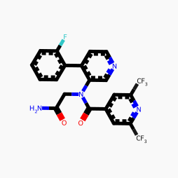 NC(=O)CN(C(=O)c1cc(C(F)(F)F)nc(C(F)(F)F)c1)c1cnccc1-c1ccccc1F